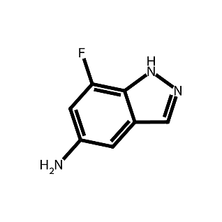 Nc1cc(F)c2[nH]ncc2c1